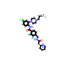 O=C(C[C@@H]1CCCCN1)NCc1ccc(C(=O)Nc2ccc(Cl)cc2N2CCN(CCC(F)(F)F)CC2)c(F)c1F